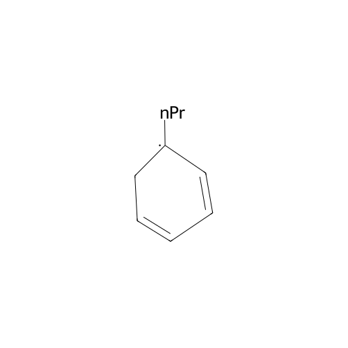 CCC[C]1C=CC=CC1